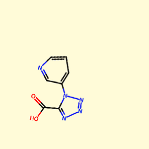 O=C(O)c1nnnn1-c1cccnc1